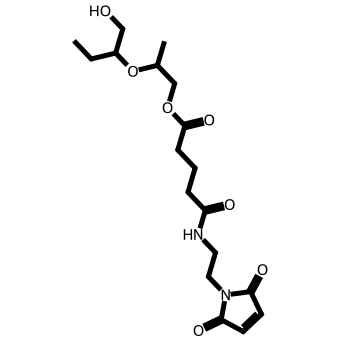 CCC(CO)OC(C)COC(=O)CCCC(=O)NCCN1C(=O)C=CC1=O